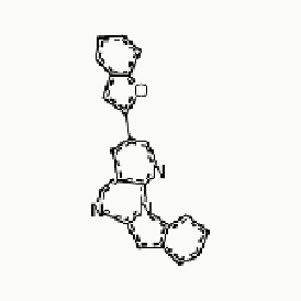 c1ccc2oc(-c3cnc4c(cnc5cc6ccccc6n54)c3)cc2c1